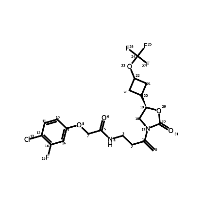 C=C(CCNC(=O)COc1ccc(Cl)c(F)c1)N1C[C@@H](C2CC(OC(F)(F)F)C2)OC1=O